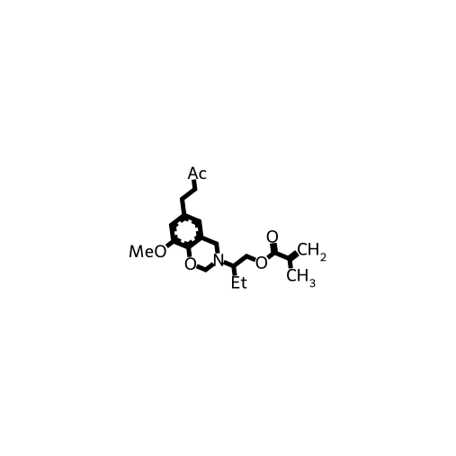 C=C(C)C(=O)OCC(CC)N1COc2c(cc(CCC(C)=O)cc2OC)C1